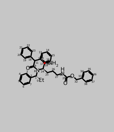 CC[C@H](c1ccccc1)N(C(=O)C(c1ccccc1)c1ccccc1)[C@H](CCCNC(=O)OCc1ccccc1)C(N)=O